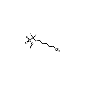 O=S(=O)(OF)C(F)(F)CCCCCCC(F)(F)F